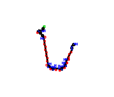 CC(=O)N1c2ccc(-c3ccc(C(=O)NCCOCCOCCOCCOCCOCCOCCOCCOCCNC(=O)c4cc(NC(=O)c5nc(NC(=O)CCNC(=O)c6cc(NC(=O)c7nc(NC(=O)CCNC(=O)COCCOCCOCCN8CCN(CC9CCNCC9)CC8)cn7C)cn6C)cn5C)cn4C)cc3)cc2[C@H](Nc2ccc(Cl)cc2)C[C@@H]1C